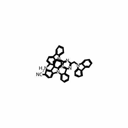 N#Cc1ccc2c(c1)c1ccccc1n2-c1ccccc1-c1nc(Cn2c3ccccc3c3ccccc32)nc(-n2c3ccccc3c3ccc(N)cc32)n1